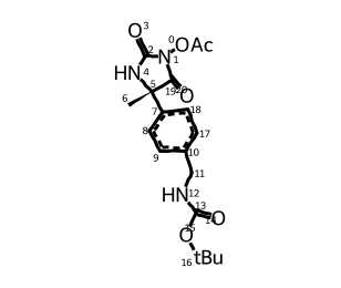 CC(=O)ON1C(=O)N[C@@](C)(c2ccc(CNC(=O)OC(C)(C)C)cc2)C1=O